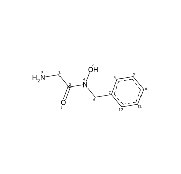 NCC(=O)N(O)Cc1ccccc1